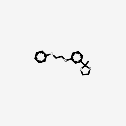 CC1(c2cccc(OCCOc3ccccc3)c2)SCCS1